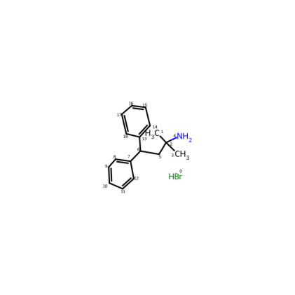 Br.CC(C)(N)CC(c1ccccc1)c1ccccc1